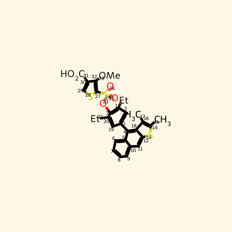 CCc1cc(-c2c3ccccc3cc3sc(C)c(C)c23)cc(CC)c1OS(=O)(=O)c1scc(C(=O)O)c1OC